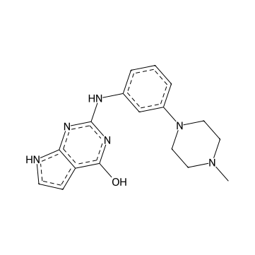 CN1CCN(c2cccc(Nc3nc(O)c4cc[nH]c4n3)c2)CC1